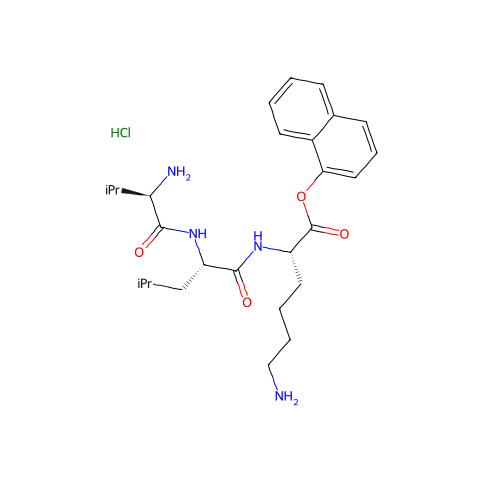 CC(C)C[C@H](NC(=O)[C@H](N)C(C)C)C(=O)N[C@@H](CCCCN)C(=O)Oc1cccc2ccccc12.Cl